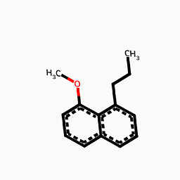 CCCc1cccc2cccc(OC)c12